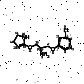 CCc1cncc(OC[C@@H](N)COC2=NCCN2)c1